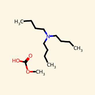 CCCCN(CCCC)CCCC.COC(=O)O